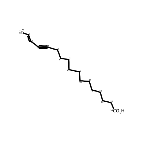 CCC=CC#CCCCCCCCCCCCC(=O)O